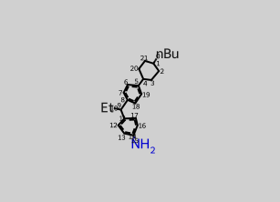 CCCCC1CCC(c2ccc(C(CC)c3ccc(N)cc3)cc2)CC1